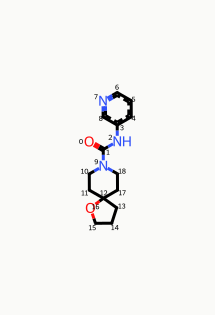 O=C(Nc1cccnc1)N1CCC2(CCCO2)CC1